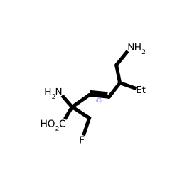 CCC(/C=C/C(N)(CF)C(=O)O)CN